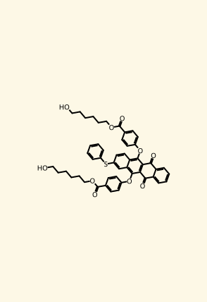 O=C(OCCCCCCO)c1ccc(Oc2c3c(c(Oc4ccc(C(=O)OCCCCCCO)cc4)c4cc(Sc5ccccc5)ccc24)C(=O)c2ccccc2C3=O)cc1